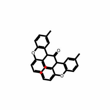 Cc1ccc2c(c1)C(C(=O)C1c3ccccc3Oc3ccc(C)cc31)c1ccccc1O2